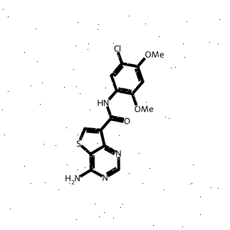 COc1cc(OC)c(NC(=O)c2csc3c(N)ncnc23)cc1Cl